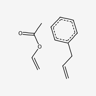 C=CCc1ccccc1.C=COC(C)=O